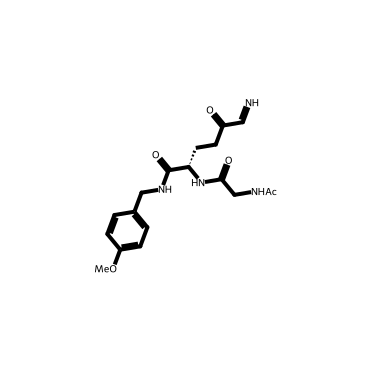 COc1ccc(CNC(=O)[C@H](CCC(=O)C=N)NC(=O)CNC(C)=O)cc1